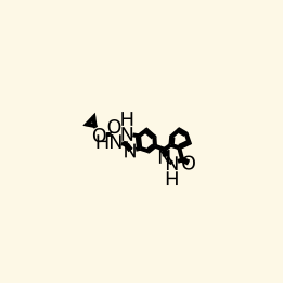 O=C(Nc1nc2cc(-c3n[nH]c(=O)c4ccccc34)ccc2[nH]1)OC1CC1